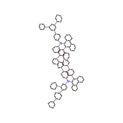 c1ccc(-c2ccc(-c3ccc(N(c4ccc(-c5ccc6c(-c7ccc(-c8c(N(c9ccccc9)c9ccc(-c%10cc(-c%11ccccc%11)cc(-c%11ccccc%11)c%10)cc9)c9ccccc9c9ccccc89)cc7)cccc6c5)cc4)c4c(-c5ccc(-c6ccc7ccccc7c6)cc5)c5ccccc5c5ccccc45)cc3-c3ccccc3)cc2)cc1